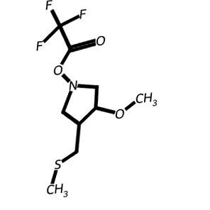 COC1CN(OC(=O)C(F)(F)F)CC1CSC